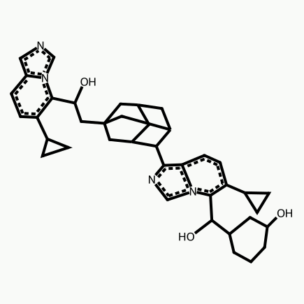 OC1CCCC(C(O)c2c(C3CC3)ccc3c(C4C5CC6CC4CC(CC(O)c4c(C7CC7)ccc7cncn47)(C6)C5)ncn23)C1